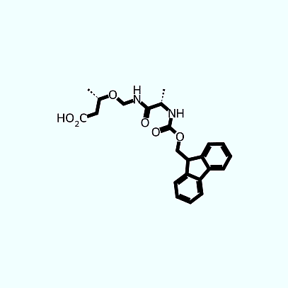 C[C@H](NC(=O)OCC1c2ccccc2-c2ccccc21)C(=O)NCO[C@@H](C)CC(=O)O